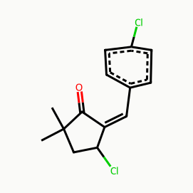 CC1(C)CC(Cl)C(=Cc2ccc(Cl)cc2)C1=O